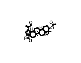 C=C(C=O)[C@@H]1CC[C@]2(C(=O)F)CC[C@]3(C)[C@H](CC[C@@H]4[C@@]5(C)CC[C@H](OC(C)=O)C(C)(C)[C@@H]5CC[C@]43C)[C@@H]12